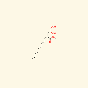 CCCCCCCCCCC(CC(O)CO)C(=O)OC